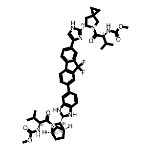 COC(=O)N[C@H](C(=O)N1CC2(CC2)C[C@H]1c1nc(-c2ccc3c(c2)C(F)(F)c2cc(-c4ccc5c(c4)NC([C@@H]4[C@H]6CC[C@H](C6)N4C(=O)[C@@H](NC(=O)OC)C(C)C)N5)ccc2-3)c[nH]1)C(C)C